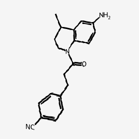 CC1CCN(C(=O)CCc2ccc(C#N)cc2)c2ccc(N)cc21